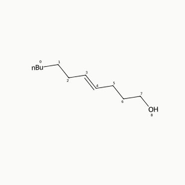 CCCCCCC=CCCCO